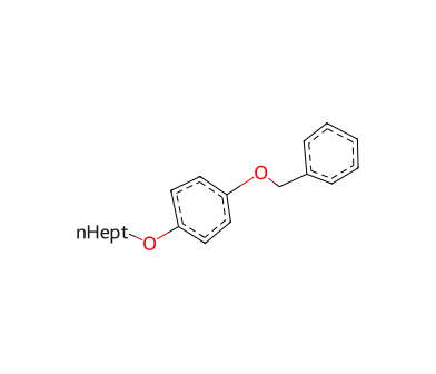 [CH2]CCCCCCOc1ccc(OCc2ccccc2)cc1